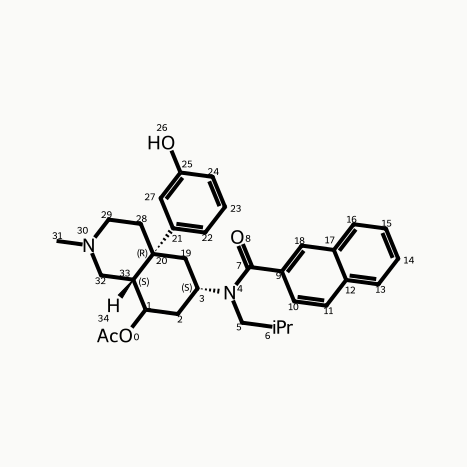 CC(=O)OC1C[C@@H](N(CC(C)C)C(=O)c2ccc3ccccc3c2)C[C@]2(c3cccc(O)c3)CCN(C)C[C@@H]12